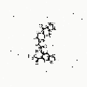 CC(=O)c1cc2c(cc1NC(=O)CN1CCN(C(=O)c3ncn[nH]3)CC1)OCO2